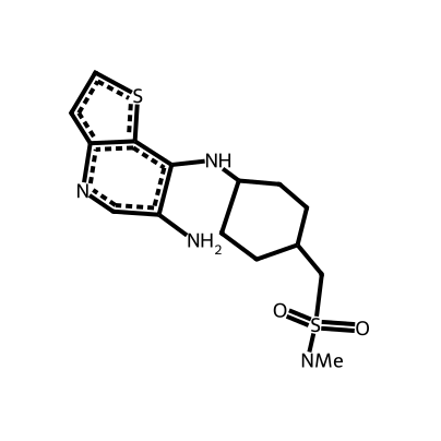 CNS(=O)(=O)CC1CCC(Nc2c(N)cnc3ccsc23)CC1